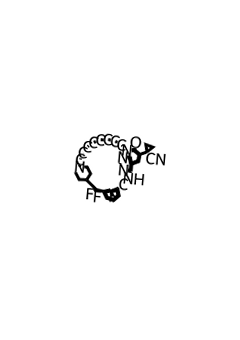 N#CC1(c2cc3c4ncnc3n(c2=O)CCCCCCCCN2CCC(CC2)C(F)(F)c2cccc(c2F)CN4)CC1